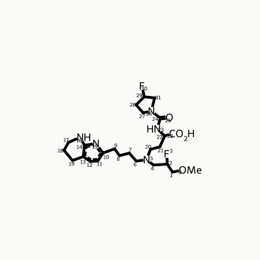 COCC(F)CN(CCCCc1ccc2c(n1)NCCC2)CCC(NC(=O)N1CCC(F)C1)C(=O)O